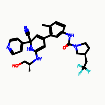 Cc1ccc(NC(=O)N2CC[C@@H](CC(F)(F)F)C2)cc1C1=CC(C#N)(c2ccncc2)NC(N[C@H](C)CO)=C1